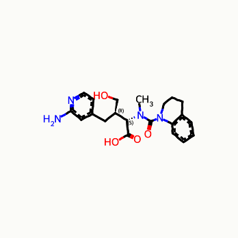 CN(C(=O)N1CCCc2ccccc21)[C@H](C(=O)O)[C@H](CO)Cc1ccnc(N)c1